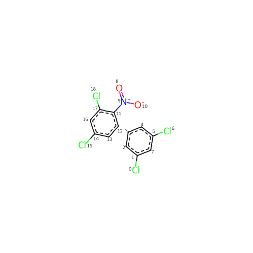 Clc1cccc(Cl)c1.O=[N+]([O-])c1ccc(Cl)cc1Cl